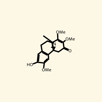 COC1=C(OC)C23CCc4cc(O)c(OC)cc4C2(CCN3C)CC1=O